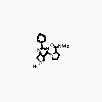 CNC(=O)C1CCCN1c1nc(-c2ccccc2)nc2c1CN(C#N)C2